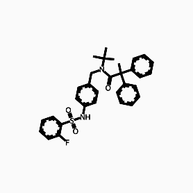 CC(C(=O)N(Cc1ccc(NS(=O)(=O)c2ccccc2F)cc1)C(C)(C)C)(c1ccccc1)c1ccccc1